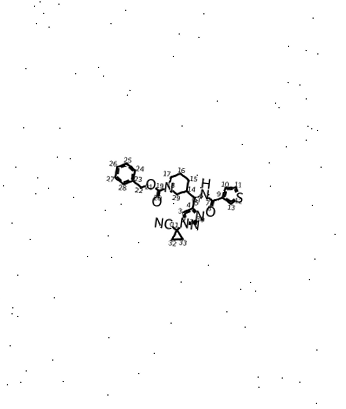 N#CC1(n2cc([C@@H](NC(=O)c3ccsc3)C3CCCN(C(=O)OCc4ccccc4)C3)nn2)CC1